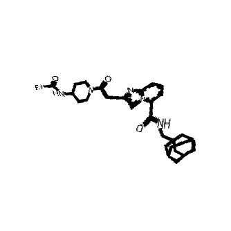 CCC(=O)NC1CCN(C(=O)Cc2cn3c(C(=O)NCC45CC6CC(CC(C6)C4)C5)cccc3n2)CC1